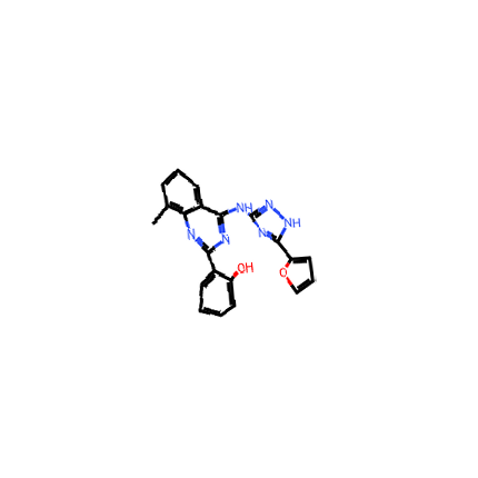 Cc1cccc2c(Nc3n[nH]c(-c4ccco4)n3)nc(-c3ccccc3O)nc12